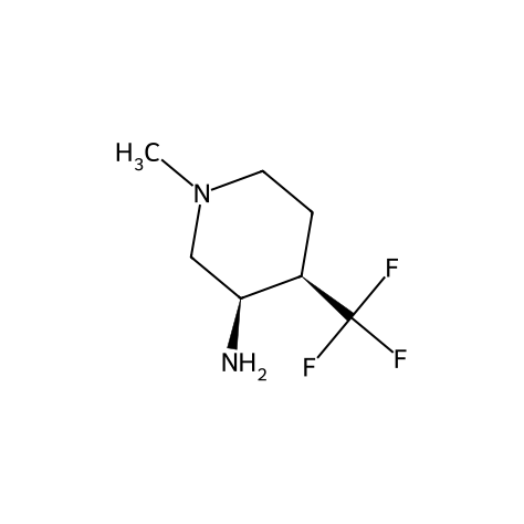 CN1CC[C@@H](C(F)(F)F)[C@@H](N)C1